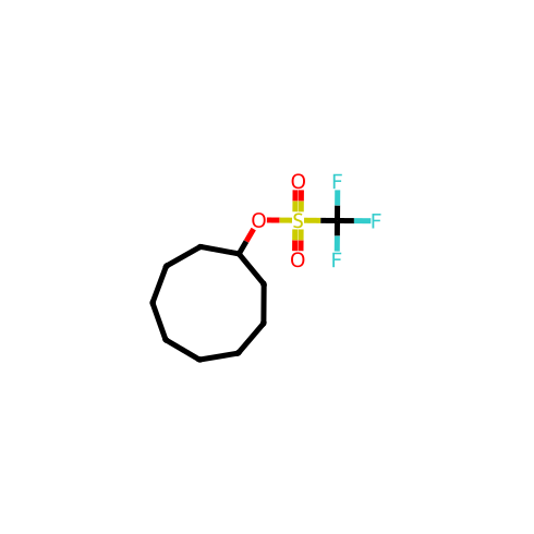 O=S(=O)(OC1CCCCCCCC1)C(F)(F)F